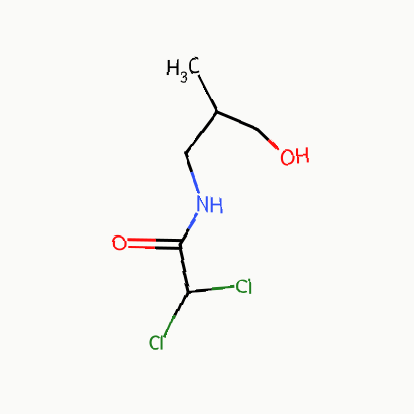 CC(CO)CNC(=O)C(Cl)Cl